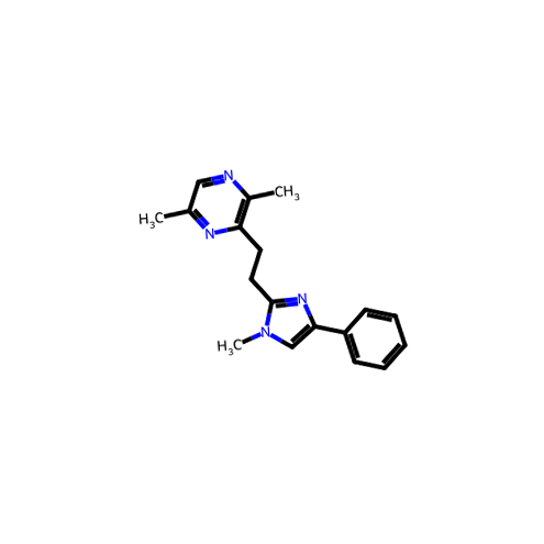 Cc1cnc(C)c(CCc2nc(-c3ccccc3)cn2C)n1